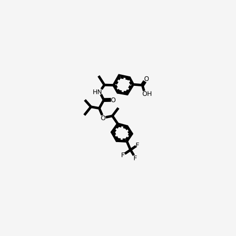 CC(NC(=O)C(OC(C)c1ccc(C(F)(F)F)cc1)C(C)C)c1ccc(C(=O)O)cc1